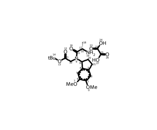 COc1cc2c(cc1OC)C(N(CC(=O)OC(C)(C)C)C(=O)[C@H](C)N)CC2.O=C(O)C(=O)O